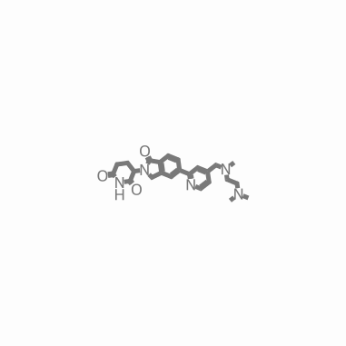 CN(C)CCN(C)Cc1ccnc(-c2ccc3c(c2)CN(C2CCC(=O)NC2=O)C3=O)c1